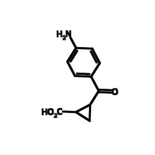 Nc1ccc(C(=O)C2CC2C(=O)O)cc1